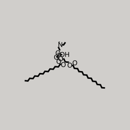 CCCCCCCCCCCCCCC(=O)OCC(COP(=O)(O)OCCN(C)CC)OC(=O)CCCCCCCCCCCCCC